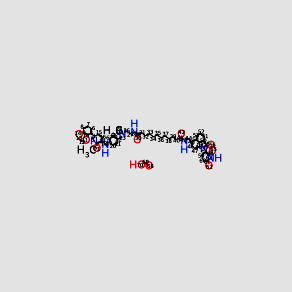 COc1nc(-c2cccc3c2OCCO3)ccc1Nc1ccc(CN(C)CCNC(=O)CCCCCCCCCCC(=O)NCc2ccc3c4c(cccc24)C(=O)N3C2CCC(=O)NC2=O)cc1.O=CO